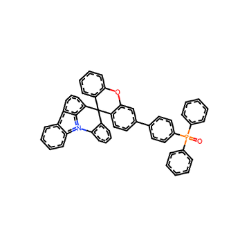 O=P(c1ccccc1)(c1ccccc1)c1ccc(-c2ccc3c(c2)Oc2ccccc2C32c3ccccc3-n3c4ccccc4c4cccc2c43)cc1